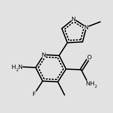 Cc1c(F)c(N)nc(-c2cnn(C)c2)c1C(N)=O